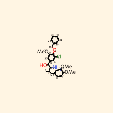 COc1ccc(CC(C)C(N)C(O)c2cc(Cl)c(OCc3ccccc3)c(OC)c2)cc1OC